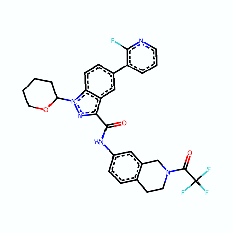 O=C(Nc1ccc2c(c1)CN(C(=O)C(F)(F)F)CC2)c1nn(C2CCCCO2)c2ccc(-c3cccnc3F)cc12